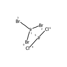 [Br][Ir]([Br])[Br].[Cl][Ir][Cl]